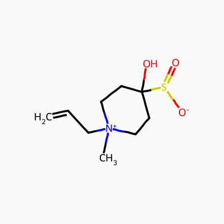 C=CC[N+]1(C)CCC(O)(S(=O)[O-])CC1